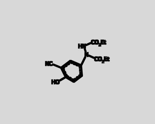 CCOC(=O)NN(C(=O)OCC)c1ccc(O)c(C#N)c1